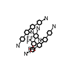 N#Cc1ccc(-c2ccc3c4ccc(-c5ccc(C#N)cc5)cc4n(-c4cc(-c5ccc(C(F)(F)F)cc5C(F)(F)F)c(-n5c6cc(-c7ccc(C#N)cc7)ccc6c6ccc(-c7ccc(C#N)cc7)cc65)cc4C#N)c3c2)cc1